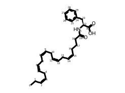 CC/C=C\C/C=C\C/C=C\C/C=C\C/C=C\CCCC(=O)N[C@@H](Cc1ccccc1)C(=O)O